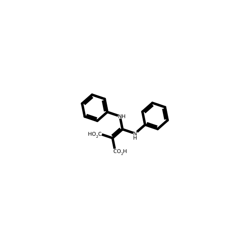 O=C(O)C(C(=O)O)=C(Nc1ccccc1)Nc1ccccc1